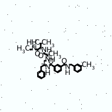 CCNC(=O)[C@@H](NC(=O)[C@H](C)NC[C@H](Cc1ccccc1)NC(=O)c1cccc(C(=O)NCc2cccc(C)c2)c1)C(C)C